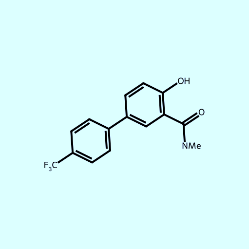 CNC(=O)c1cc(-c2ccc(C(F)(F)F)cc2)ccc1O